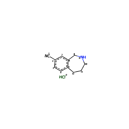 Cl.N#Cc1ccc2c(c1)CNCCC2